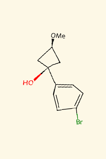 CO[C@H]1C[C@](O)(c2ccc(Br)cc2)C1